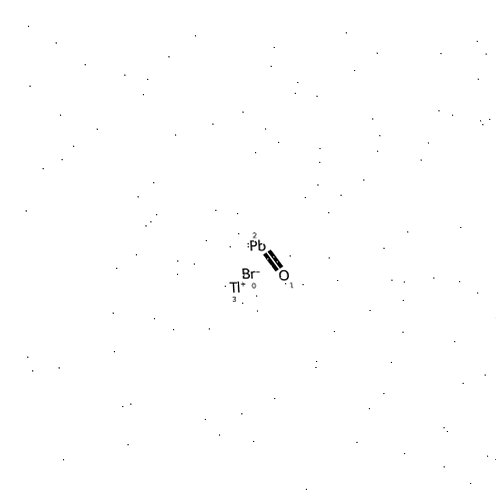 [Br-].[O]=[Pb].[Tl+]